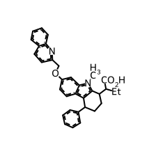 CCC(C(=O)O)C1CCC(c2ccccc2)c2c1n(C)c1cc(OCc3ccc4ccccc4n3)ccc21